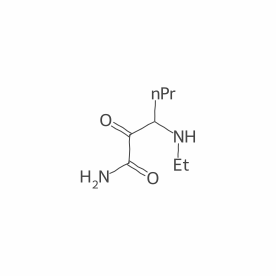 CCCC(NCC)C(=O)C(N)=O